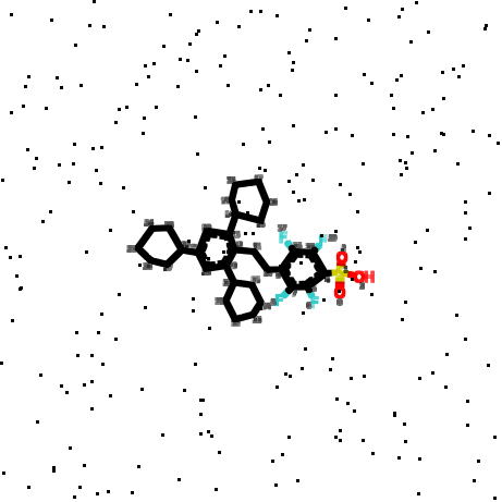 O=S(=O)(O)c1c(F)c(F)c(CCc2c(C3CCCCC3)cc(C3CCCCC3)cc2C2CCCCC2)c(F)c1F